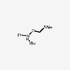 CC[SiH](OCNC)C(C)(C)C